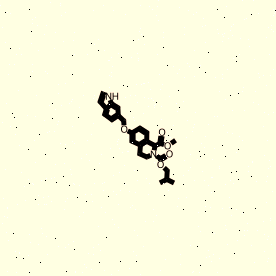 COC(=O)C1c2ccc(OCc3ccc4cc[nH]c4c3)cc2CCN1C(=O)OCC(C)C